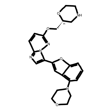 c1cc(N2CCOCC2)c2cc(-c3cnc4ccc(OC[C@H]5CNCCO5)nn34)oc2c1